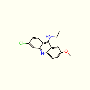 CCNc1c2ccc(Cl)cc2nc2ccc(OC)cc12